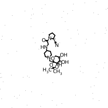 CC1(C)O[C@H]2[C@H](O)[C@H](O)CO[C@@]2(CN2CCC(NCC(=O)N3CCC[C@H]3C#N)CC2)O1